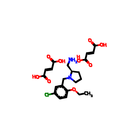 CCOc1ccc(Cl)cc1CN1CCC[C@@H]1CN.O=C(O)/C=C/C(=O)O.O=C(O)/C=C/C(=O)O